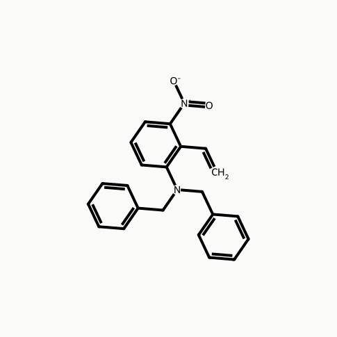 C=Cc1c(N(Cc2ccccc2)Cc2ccccc2)cccc1[N+](=O)[O-]